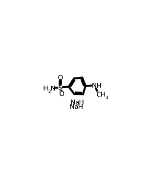 CNc1ccc(S(N)(=O)=O)cc1.[NaH].[NaH]